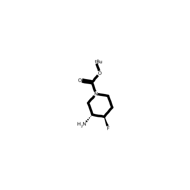 CC(C)(C)OC(=O)N1CC[C@@H](F)[C@H](N)C1